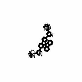 CC1(C)N=C(c2cncc(-c3ccc4c(c3)C3(c5ccccc5-c5ccccc53)c3cc(-c5cncc(C6=NC(C)(C)C(C)(C)O6)c5)ccc3-4)c2)OC1(C)C